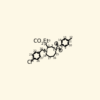 CCOC(=O)CC1CN(S(=O)(=O)c2ccc(C)cc2)CCCCN1Cc1ccc(Cl)cc1